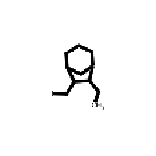 CCC1C2CCCC(C2)C1CI